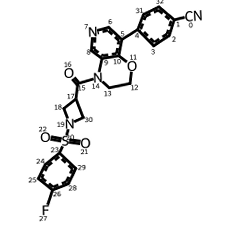 N#Cc1ccc(-c2cncc3c2OCCN3C(=O)C2CN(S(=O)(=O)c3ccc(F)cc3)C2)cc1